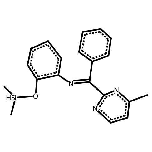 Cc1ccnc(C(=Nc2ccccc2O[SiH](C)C)c2ccccc2)n1